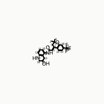 CC1(C)C/C(=C\C(=O)Nc2cccc3c2CC(O)CN3)c2ccc(C(F)(F)F)cc2O1